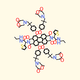 CCCNC(=O)C(c1cccs1)N1C(=O)c2cc(Oc3ccc(C(C)(C)CN(CC4CO4)CC4CO4)cc3)c3c4c(Oc5ccc(C(C)(C)CN(CC6CO6)CC6CO6)cc5)cc5c6c(cc(Oc7ccc(C(C)(C)CN(CC8CO8)CC8CO8)cc7)c(c7c(Oc8ccc(C(C)(C)CN(CC9CO9)CC9CO9)cc8)cc(c2c37)C1=O)c64)C(=O)N(C(C(=O)NCCC)c1cccs1)C5=O